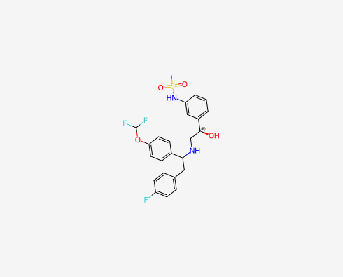 CS(=O)(=O)Nc1cccc([C@@H](O)CNC(Cc2ccc(F)cc2)c2ccc(OC(F)F)cc2)c1